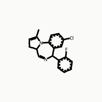 CC1=CCC2C=NC(c3ccccc3F)c3cc(Cl)ccc3N12